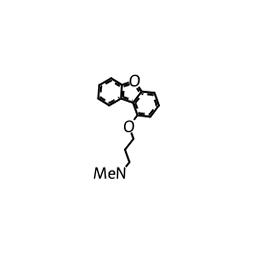 CNCCCOc1cccc2oc3ccccc3c12